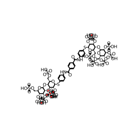 O=C(Nc1ccc(S[C@@H]2O[C@H](COS(=O)(=O)O)[C@@H](O[C@@H]3O[C@H](COS(=O)(=O)O)[C@@H](OS(=O)(=O)O)[C@H](OS(=O)(=O)O)[C@H]3OS(=O)(=O)O)[C@H](OS(=O)(=O)O)[C@H]2OS(=O)(=O)O)cc1)c1ccc(C(=O)Nc2ccc(S[C@@H]3O[C@H](COS(=O)(=O)O)[C@@H](O[C@@H]4O[C@H](COS(=O)(=O)O)[C@@H](OS(=O)(=O)O)[C@H](OS(=O)(=O)O)[C@H]4OS(=O)(=O)O)[C@H](OS(=O)(=O)O)[C@H]3OS(=O)(=O)O)cc2)cc1